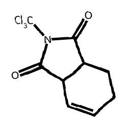 O=C1C2C=CCCC2C(=O)N1C(Cl)(Cl)Cl